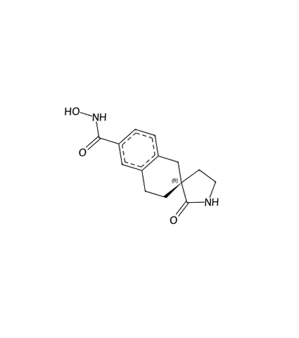 O=C(NO)c1ccc2c(c1)CC[C@]1(CCNC1=O)C2